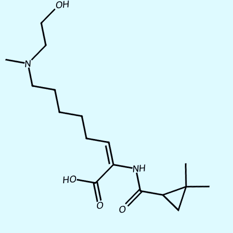 CN(CCO)CCCCC/C=C(/NC(=O)C1CC1(C)C)C(=O)O